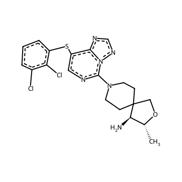 C[C@H]1OCC2(CCN(c3ncc(Sc4cccc(Cl)c4Cl)c4ncnn34)CC2)[C@@H]1N